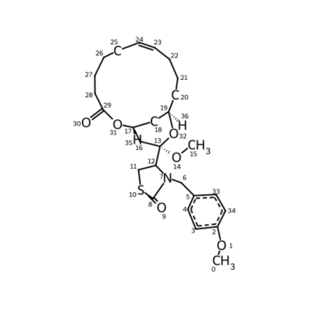 COc1ccc(CN2C(=O)SCC2[C@@]2(OC)C[C@H]3C[C@@H](CCCC=CCCCCC(=O)O3)O2)cc1